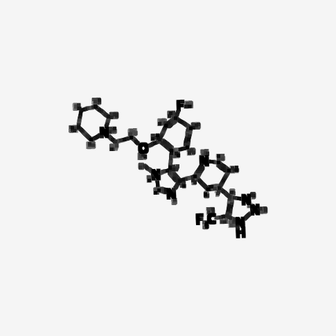 Cn1cnc(-c2cc(-c3nn[nH]c3C(F)(F)F)ccn2)c1-c1ccc(F)cc1OCCN1CCCCC1